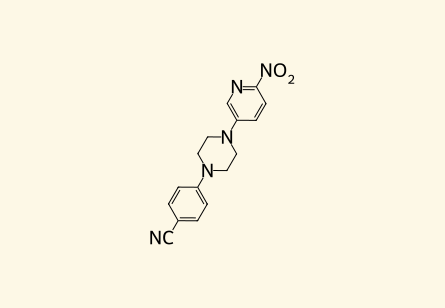 N#Cc1ccc(N2CCN(c3ccc([N+](=O)[O-])nc3)CC2)cc1